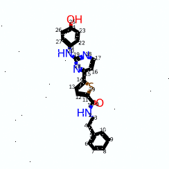 O=C(NCCc1ccccc1)c1ccc(-c2ccnc(Nc3ccc(O)cc3)n2)s1